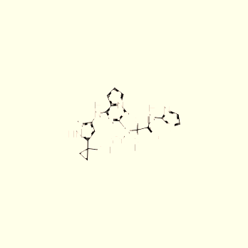 CCCN(c1nc(Nc2cc(C3(C)CC3)[nH]n2)c2cccn2n1)C(C)(C)C(=O)Nc1nccs1